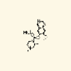 COc1cc2ncncc2cc1OC(=O)N1CCN(C)CC1C.Cl